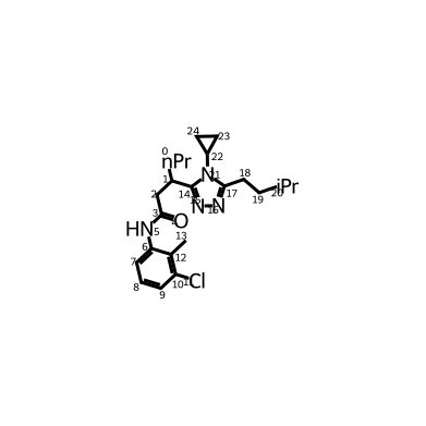 CCCC(CC(=O)Nc1cccc(Cl)c1C)c1nnc(CCC(C)C)n1C1CC1